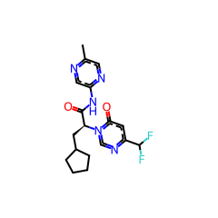 Cc1cnc(NC(=O)[C@H](CC2CCCC2)n2cnc(C(F)F)cc2=O)cn1